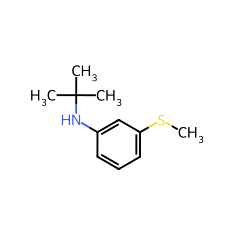 CSc1cccc(NC(C)(C)C)c1